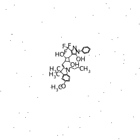 CCCCN1C(=CC2C(O)C(c3c(C(F)(F)F)nn(-c4ccccc4)c3O)C2O)C(C)(C)c2cc(OC)ccc21